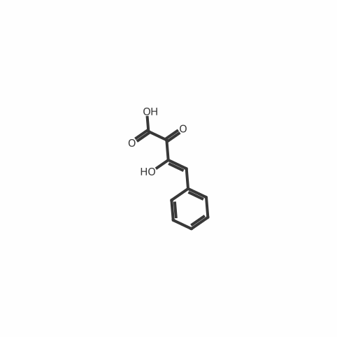 O=C(O)C(=O)/C(O)=C/c1ccccc1